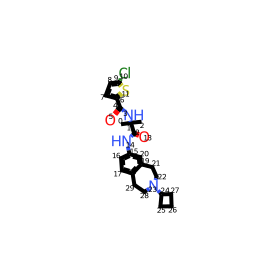 CC(C)(NC(=O)c1ccc(Cl)s1)C(=O)Nc1ccc2c(c1)CCN(C1CCC1)CC2